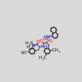 Cc1ccc(CC(C(=O)NC(Cc2ccc(C#N)cc2)C(=O)N(C)C)S(=O)(=O)Nc2cccc3ccccc23)c(C)c1